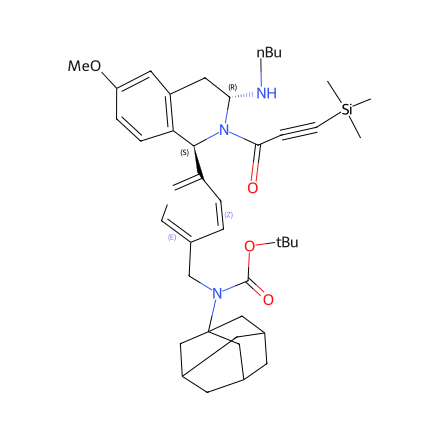 C=C(/C=C\C(=C/C)CN(C(=O)OC(C)(C)C)C12CC3CC(CC(C3)C1)C2)[C@H]1c2ccc(OC)cc2C[C@H](NCCCC)N1C(=O)C#C[Si](C)(C)C